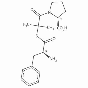 CC(SC(=O)[C@@H](N)Cc1ccccc1)(C(=O)N1CCC[C@H]1C(=O)O)C(F)(F)F